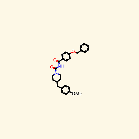 COc1ccc(CC2CCN(C(=O)NC(=O)c3ccc(OCc4ccccc4)cc3)CC2)cc1